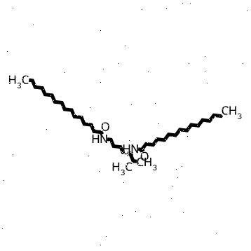 CCCCCCCCCCCCCCCC(=O)NCCCC[C@H](NC(=O)CCCCCCCCCCCCCCC)C(C)C